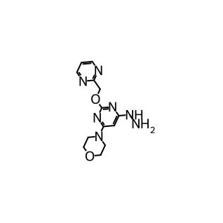 NNc1cc(N2CCOCC2)nc(OCc2ncccn2)n1